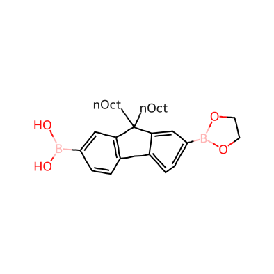 CCCCCCCCC1(CCCCCCCC)c2cc(B(O)O)ccc2-c2ccc(B3OCCO3)cc21